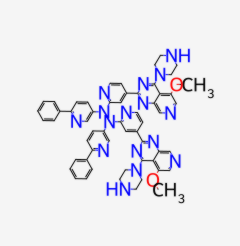 COc1cncc2nc(-c3ccnc(N(c4ccc(-c5ccccc5)nc4)N(c4ccc(-c5ccccc5)nc4)c4cc(-c5nc(N6CCNCC6)c6c(OC)cncc6n5)ccn4)c3)nc(N3CCNCC3)c12